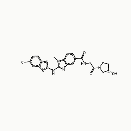 Cn1c(Nc2nc3ccc(Cl)cc3s2)nc2cc(C(=O)NCC(=O)N3CC[C@H](O)C3)ccc21